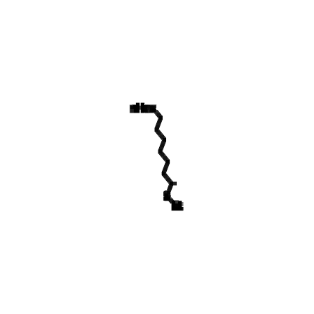 CCCCCCCCCCCC[CH]SCC